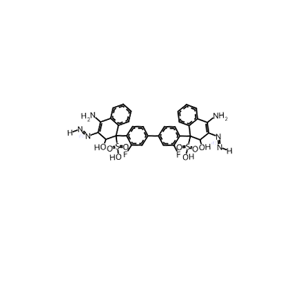 [H]/N=N/C1=C(N)c2ccccc2C(c2ccc(-c3ccc(C4(S(=O)(=O)O)c5ccccc5C(N)=C(/N=N/[H])C4O)c(F)c3)cc2F)(S(=O)(=O)O)C1O